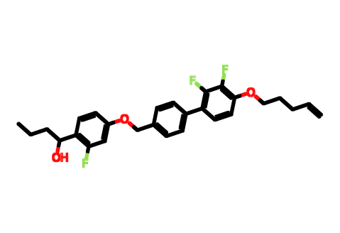 C=CCCCOc1ccc(-c2ccc(COc3ccc(C(O)CCC)c(F)c3)cc2)c(F)c1F